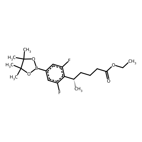 CCOC(=O)CCC[C@H](C)c1c(F)cc(B2OC(C)(C)C(C)(C)O2)cc1F